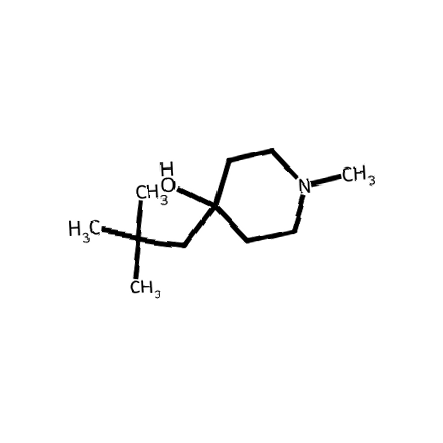 CN1CCC(O)(CC(C)(C)C)CC1